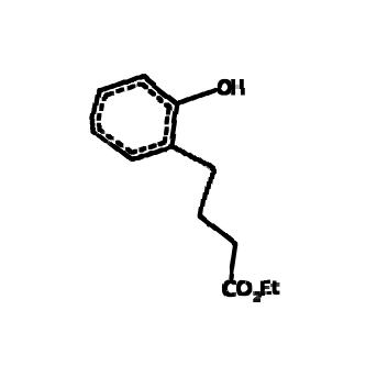 CCOC(=O)CCCc1ccccc1O